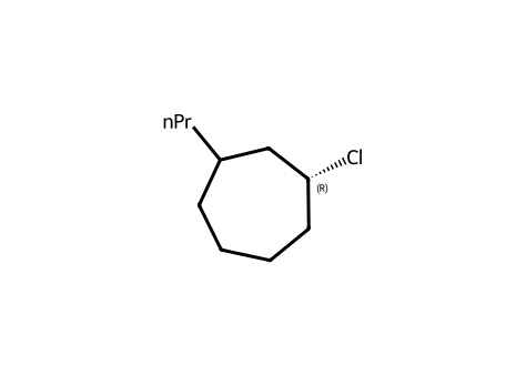 CCCC1CCCC[C@@H](Cl)C1